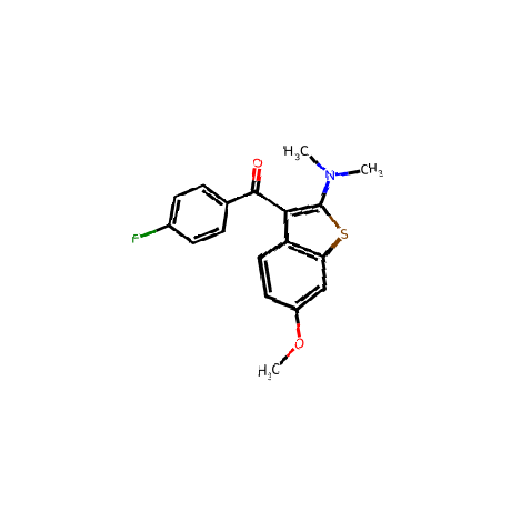 COc1ccc2c(C(=O)c3ccc(F)cc3)c(N(C)C)sc2c1